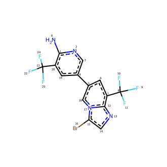 Nc1ncc(-c2cc(C(F)(F)F)c3ncc(Br)n3c2)cc1C(F)(F)F